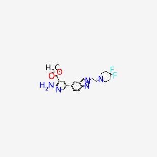 COC(=O)c1cc(-c2ccc3nn(CCN4CCC(F)(F)CC4)cc3c2)cnc1N